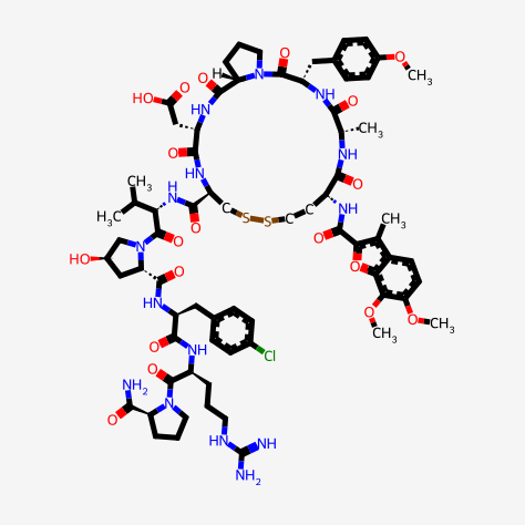 COc1ccc(C[C@@H]2NC(=O)[C@H](C)NC(=O)[C@H](NC(=O)c3oc4c(OC)c(OC)ccc4c3C)CCSSC[C@@H](C(=O)N[C@H](C(=O)N3C[C@H](O)C[C@H]3C(=O)N[C@@H](Cc3ccc(Cl)cc3)C(=O)N[C@@H](CCCNC(=N)N)C(=O)N3CCC[C@H]3C(N)=O)C(C)C)NC(=O)[C@H](CC(=O)O)NC(=O)[C@@H]3CCCN3C2=O)cc1